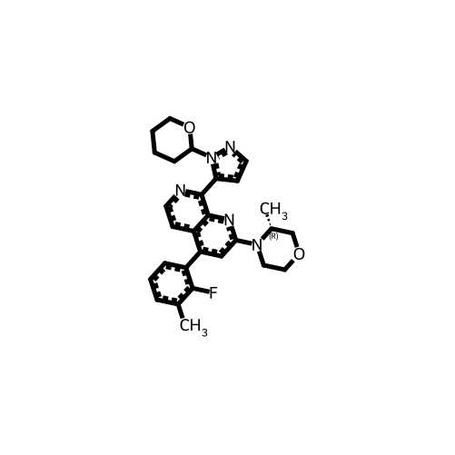 Cc1cccc(-c2cc(N3CCOC[C@H]3C)nc3c(-c4ccnn4C4CCCCO4)nccc23)c1F